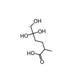 CC(CCC(O)(O)[CH]O)C(=O)O